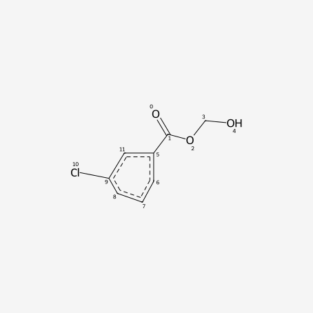 O=C(OCO)c1cccc(Cl)c1